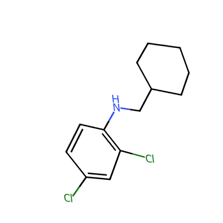 Clc1ccc(NCC2CCCCC2)c(Cl)c1